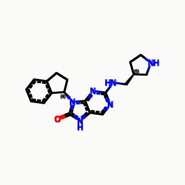 O=c1[nH]c2cnc(NC[C@H]3CCNC3)nc2n1[C@@H]1CCc2ccccc21